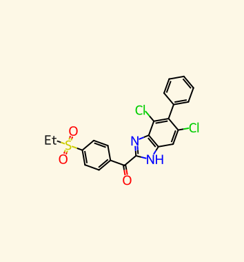 CCS(=O)(=O)c1ccc(C(=O)c2nc3c(Cl)c(-c4ccccc4)c(Cl)cc3[nH]2)cc1